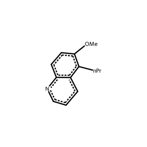 CCCc1c(OC)ccc2ncccc12